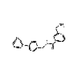 NCc1cccc(C(=O)NCc2ccc(-c3ccccc3)cc2)c1